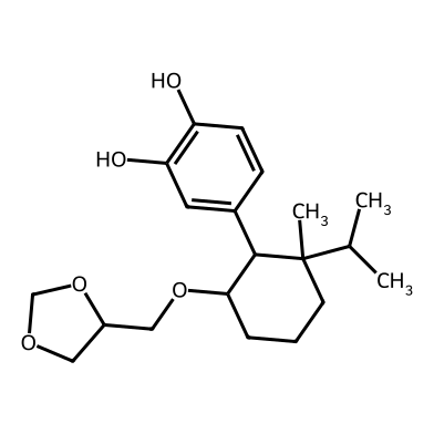 CC(C)C1(C)CCCC(OCC2COCO2)C1c1ccc(O)c(O)c1